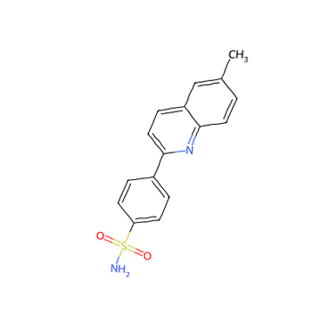 Cc1ccc2nc(-c3ccc(S(N)(=O)=O)cc3)ccc2c1